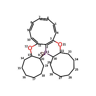 S=P12c3c(cccccccc3OC3CCCCCCC31)OC1CCCCCCCC12